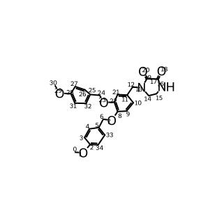 COc1ccc(COc2ccc(CN3CCNC(=O)C3=O)cc2OCc2ccc(OC)cc2)cc1